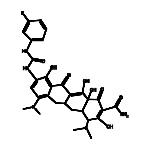 CN(C)c1cc(NC(=O)Nc2cccc(F)c2)c(O)c2c1CC1CC3C(N(C)C)C(O)=C(C(N)=O)C(=O)C3(O)C(O)=C1C2=O